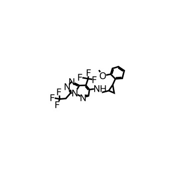 COc1ccccc1C1CC1CNc1cnn2c(CC(F)(F)F)nnc2c1C(F)(F)F